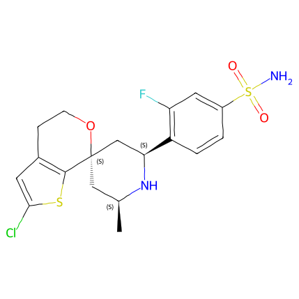 C[C@H]1C[C@@]2(C[C@@H](c3ccc(S(N)(=O)=O)cc3F)N1)OCCc1cc(Cl)sc12